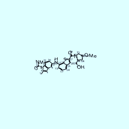 CNC(=O)n1c(C)cc2cc(Nc3cccc4cc(C(=O)N5C[C@H](OC)C[C@H]5CO)sc34)ccc21